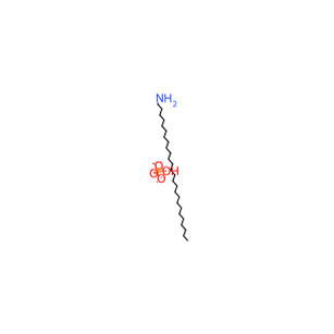 CCCCCCCCCCCCCCCCCCCCCCCCCCN.COP(=O)(O)OC